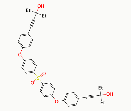 CCC(O)(C#Cc1ccc(Oc2ccc(S(=O)(=O)c3ccc(Oc4ccc(C#CC(O)(CC)CC)cc4)cc3)cc2)cc1)CC